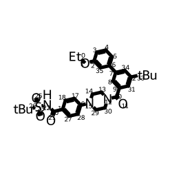 CCOc1cccc(-c2cc(C(=O)N3CCN(c4ccc(C(=O)NS(=O)(=O)C(C)(C)C)cc4)CC3)cc(C(C)(C)C)c2)c1